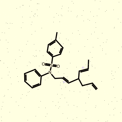 C=CCC(/C=C/C)/C=C/CN(c1ccccc1)S(=O)(=O)c1ccc(C)cc1